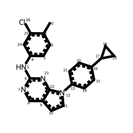 Cc1ccc(Nc2ncc3ccn(-c4ccc([C]5CC5)cc4)c3n2)cc1Cl